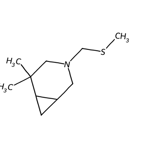 CSCN1CC2CC2C(C)(C)C1